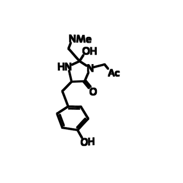 CNCC1(O)NC(Cc2ccc(O)cc2)C(=O)N1CC(C)=O